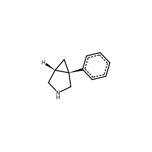 c1ccc([C@@]23CNC[C@@H]2C3)cc1